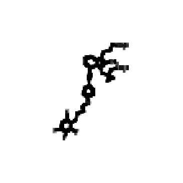 Cc1c(CCCC(=O)O)c2cccc(C#Cc3ccc(OCCCCc4c(F)cc(F)c(F)c4F)cc3)c2n1CC1(CC(=O)O)CC1